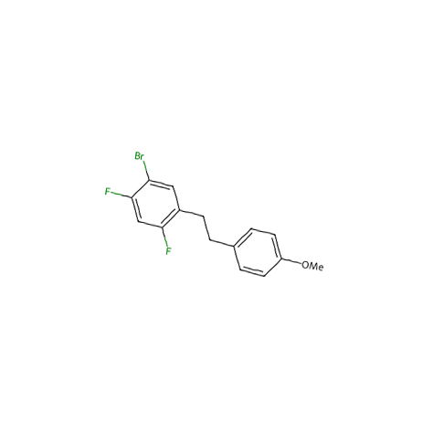 COc1ccc(CCc2cc(Br)c(F)cc2F)cc1